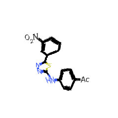 CC(=O)c1ccc(Nc2nnc(-c3cccc([N+](=O)[O-])c3)s2)cc1